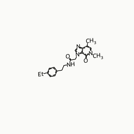 CCc1ccc(CCNC(=O)Cn2cnc3c(C)cn(C)c(=O)c32)cc1